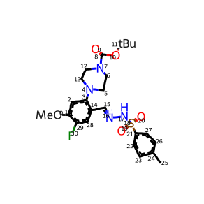 COc1cc(N2CCN(C(=O)OC(C)(C)C)CC2)c(/C=N/NS(=O)(=O)c2ccc(C)cc2)cc1F